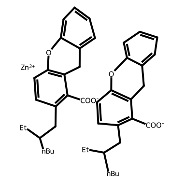 CCCCC(CC)Cc1ccc2c(c1C(=O)[O-])Cc1ccccc1O2.CCCCC(CC)Cc1ccc2c(c1C(=O)[O-])Cc1ccccc1O2.[Zn+2]